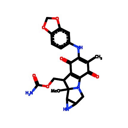 COC12C(COC(N)=O)C3=C(C(=O)C(C)=C(Nc4ccc5c(c4)OCO5)C3=O)N1CC1NC12